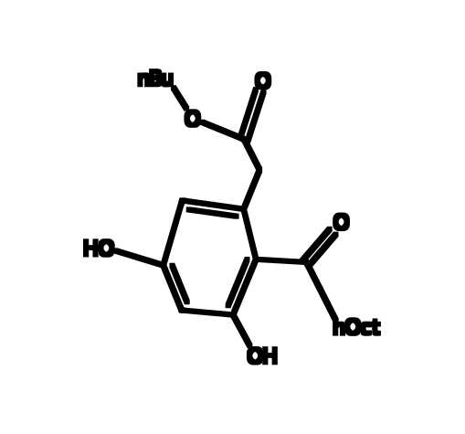 CCCCCCCCC(=O)c1c(O)cc(O)cc1CC(=O)OCCCC